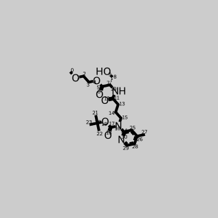 COCCOC(=O)[C@H](CO)NC(=O)CCCN(C(=O)OC(C)(C)C)c1cc(C)ccn1